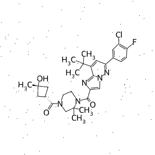 CC(C)(C)c1cc(-c2ccc(F)c(Cl)c2)nn2cc(C(=O)N3CCN(C(=O)[C@H]4C[C@@](C)(O)C4)CC3(C)C)nc12